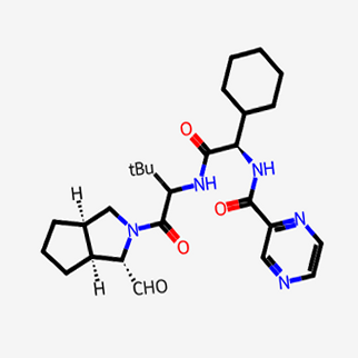 CC(C)(C)C(NC(=O)[C@H](NC(=O)c1cnccn1)C1CCCCC1)C(=O)N1C[C@@H]2CCC[C@@H]2[C@H]1C=O